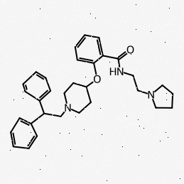 O=C(NCCN1CCCC1)c1ccccc1OC1CCN(CC(c2ccccc2)c2ccccc2)CC1